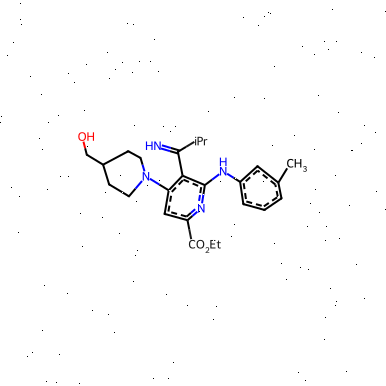 CCOC(=O)c1cc(N2CCC(CO)CC2)c(C(=N)C(C)C)c(Nc2cccc(C)c2)n1